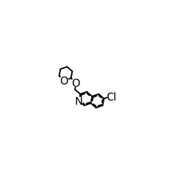 Clc1ccc2cnc(COC3CCCCO3)cc2c1